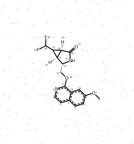 COc1ccc2ccnc(OC[C@H]3NC(=O)[C@@H]4C(C(F)F)[C@@H]43)c2c1